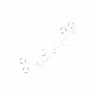 CC(C)C(NC(=O)OCC1c2ccccc2-c2ccccc21)C(=O)NC(CCC(=O)NCC(O)C(O)C(O)C(O)CO[Si](c1ccccc1)(c1ccccc1)C(C)(C)C)C(=O)OC(C)(C)C